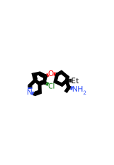 CCC1(C(C)N)CCC(Oc2ccc3cnccc3c2Cl)CC1